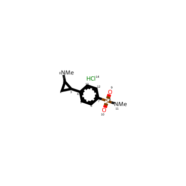 CNC1CC1c1ccc(S(=O)(=O)NC)cc1.Cl